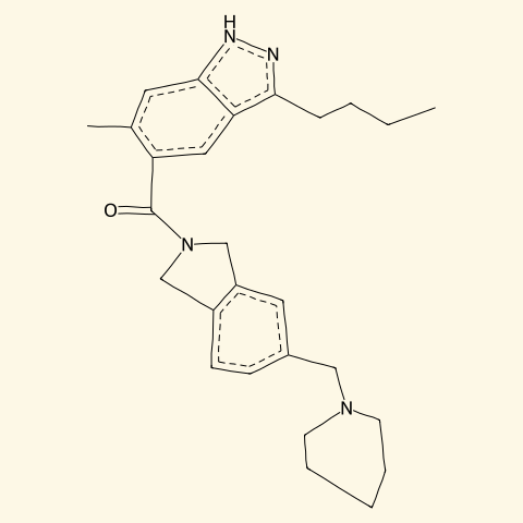 CCCCc1n[nH]c2cc(C)c(C(=O)N3Cc4ccc(CN5CCCCC5)cc4C3)cc12